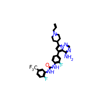 C=CCN1CCC(c2cc(-c3ccc(NC(=O)Nc4cc(C(F)(F)F)ccc4F)c(F)c3)c3c(N)ncnn23)CC1